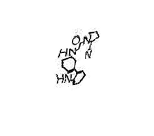 N#C[C@@H]1CCCN1C(=O)CN[C@@H]1CCc2[nH]c3ccccc3c2C1